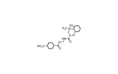 CC1(C)CC(C(=O)NCOC(=O)c2ccc(C(=O)O)cc2)Oc2ccccc21